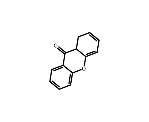 O=C1c2ccccc2OC2=CC=CCC12